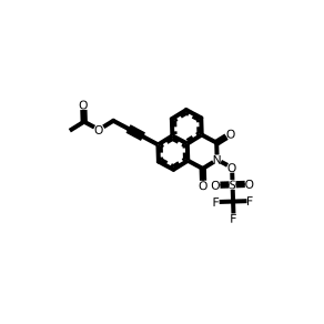 CC(=O)OCC#Cc1ccc2c3c(cccc13)C(=O)N(OS(=O)(=O)C(F)(F)F)C2=O